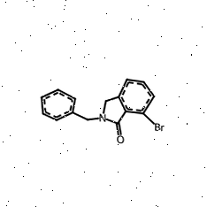 O=C1c2c(Br)cccc2CN1Cc1ccccc1